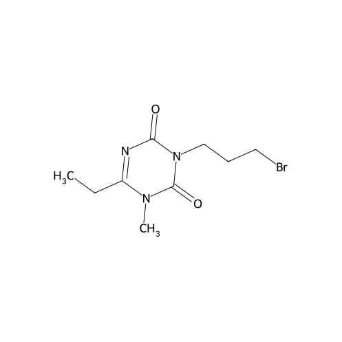 CCc1nc(=O)n(CCCBr)c(=O)n1C